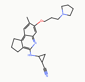 Cc1cc2c3c(c(NC4CC4C#N)nc2cc1OCCCN1CCCC1)CCC3